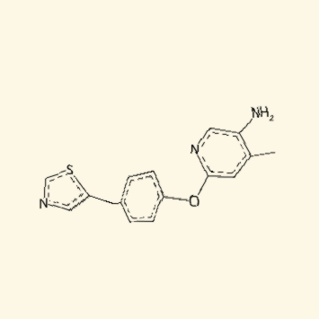 Cc1cc(Oc2ccc(-c3cncs3)cc2)ncc1N